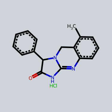 Cc1cccc2c1CN1C(=N2)NC(=O)C1c1ccccc1.Cl